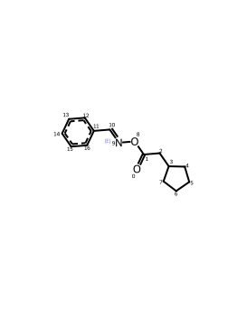 O=C(CC1CCCC1)O/N=C/c1ccccc1